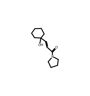 O=C(C=CC1(O)CCCCC1)N1CCCC1